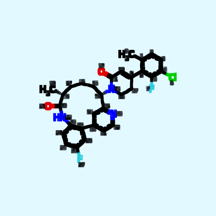 Cc1ccc(Cl)c(F)c1C1=CC(=O)N([C@H]2CCC[C@@H](C)C(=O)Nc3ccc(F)cc3-c3ccnc2c3)CC1